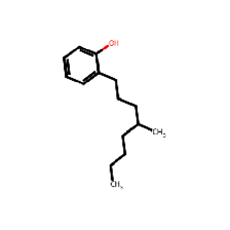 CCCCC(C)CCCc1ccccc1O